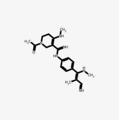 CNC1=C(C(=N)Nc2ccc(/C(NC)=C(\C)C=N)cc2)CN(C(C)=O)CC1